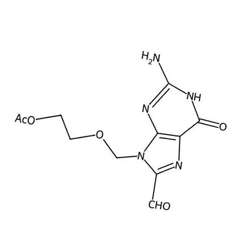 CC(=O)OCCOCn1c(C=O)nc2c(=O)[nH]c(N)nc21